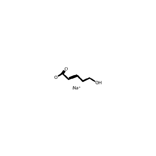 O=C([O-])C=CCCO.[Na+]